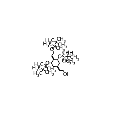 CC(C)(C)[Si](C)(C)OCC=C1C(O[Si](C)(C)C(C)(C)C)C/C(=C\CO)C[C@H]1O[Si](C)(C)C(C)(C)C